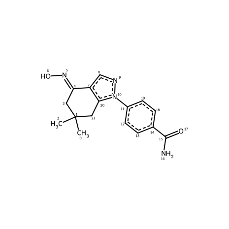 CC1(C)CC(=NO)c2cnn(-c3ccc(C(N)=O)cc3)c2C1